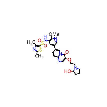 COc1ncc(-c2ccc3ncc(OCCN4CCCC4O)c(=O)n3c2)cc1NS(=O)(=O)c1sc(C)nc1C